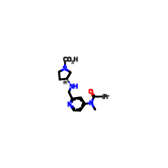 CC(C)C(=O)N(C)c1ccnc(CN[C@@H]2CCN(C(=O)O)C2)c1